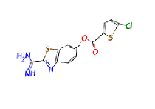 N=C(N)c1nc2ccc(OC(=O)c3ccc(Cl)s3)cc2s1